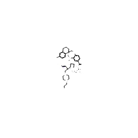 CC/C=C/[C@@](CN1CCN(CCF)CC1)(OC)[C@@H]1CC[C@H]1CN1C[C@@]2(CCCc3cc(Cl)ccc32)COc2ccc(C(=O)NS(=O)(=O)C(C)C)cc21